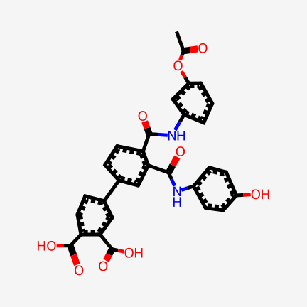 CC(=O)Oc1cccc(NC(=O)c2ccc(-c3ccc(C(=O)O)c(C(=O)O)c3)cc2C(=O)Nc2ccc(O)cc2)c1